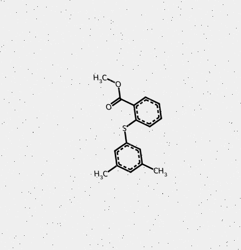 COC(=O)c1ccccc1Sc1cc(C)cc(C)c1